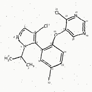 CC(C)n1ncc(Cl)c1-c1cc(F)ccc1Oc1cncnc1Cl